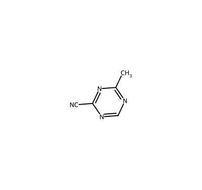 Cc1ncnc(C#N)n1